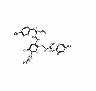 Br.Br.NC(=Nc1ccc(Cl)cc1)SCc1cc(Cl)c(Cl)cc1CS/C(N)=N/c1ccc(Cl)cc1